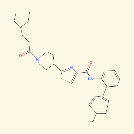 CCc1ccc(-c2ccccc2NC(=O)c2csc(C3CCN(C(=O)CCC4CCCC4)CC3)n2)cc1